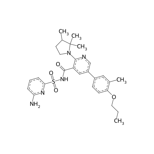 CCCOc1ccc(-c2cnc(N3CCC(C)C3(C)C)c(C(=O)NS(=O)(=O)c3cccc(N)n3)c2)cc1C